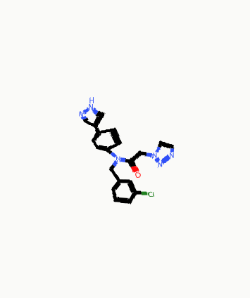 O=C(Cn1ccnn1)N(Cc1cccc(Cl)c1)c1ccc(-c2cn[nH]c2)cc1